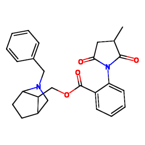 CC1CC(=O)N(c2ccccc2C(=O)OCC2C3CCC2N(Cc2ccccc2)C3)C1=O